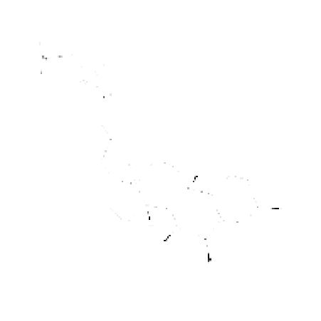 CC[C@@H]1C2C[C@H](O)CCC2(C)[C@H]2CCC3(C)[C@@H]([C@H](C)CCNS(=O)(=O)CC(=O)O)CC[C@H]3C2[C@@H]1O